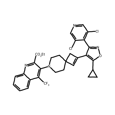 CCOC(=O)c1nc2ccccc2c(C(F)(F)F)c1N1CCC2(C=C(c3c(-c4c(Cl)cncc4Cl)noc3C3CC3)C2)CC1